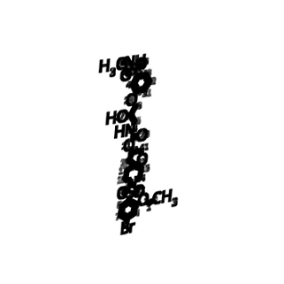 CCOc1cc(Br)ccc1S(=O)(=O)N1CCC2(CC1)C[C@H](OC(=O)NCC(O)COc1cccc(S(=O)(=O)NC)c1)CO2